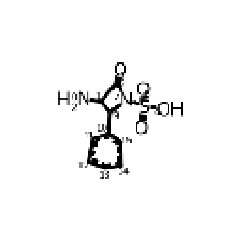 NC1C(=O)N(S(=O)(=O)O)C1c1ccccc1